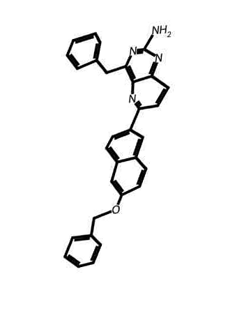 Nc1nc(Cc2ccccc2)c2nc(-c3ccc4cc(OCc5ccccc5)ccc4c3)ccc2n1